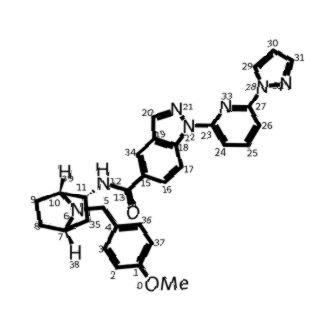 COc1ccc(CN2[C@H]3CC[C@@H]2[C@H](NC(=O)c2ccc4c(cnn4-c4cccc(-n5cccn5)n4)c2)C3)cc1